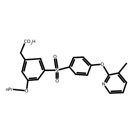 CCCOc1cc(CC(=O)O)cc(S(=O)(=O)c2ccc(Oc3ncccc3C)cc2)c1